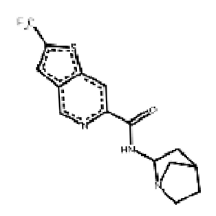 O=C(NC1CC2CCN1C2)c1cc2sc(C(F)(F)F)cc2cn1